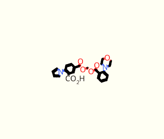 O=C(OCOC(=O)c1ccccc1N1CCOCC1)c1ccc(-n2cccc2)c(C(=O)O)c1